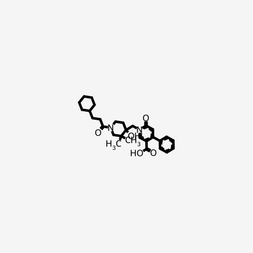 CC1(C)CN(C(=O)CCC2CCCCC2)CCC1(O)Cn1cc(C(=O)O)c(-c2ccccc2)cc1=O